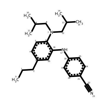 CCCc1ccc(N(CC(C)C)CC(C)C)c(Nc2ccc(C#N)cc2)c1